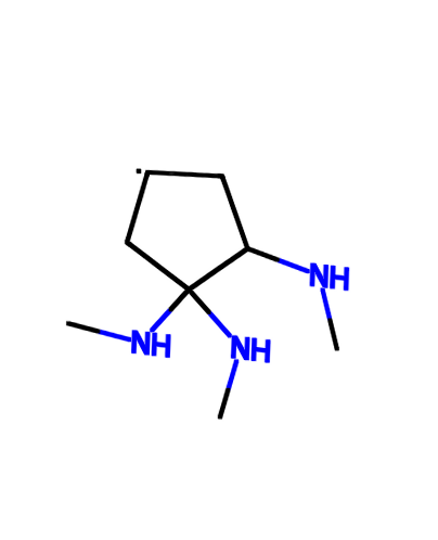 CNC1C[CH]CC1(NC)NC